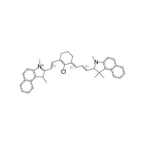 CC1C(/C=C/C2=C(Cl)C(=C/C=C/C3N(C)c4ccc5ccccc5c4C3(C)C)/CCC2)=[N+](C)c2ccc3ccccc3c21